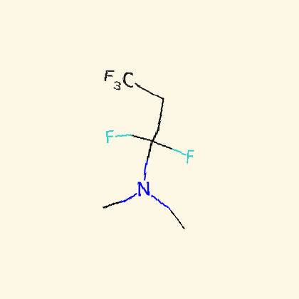 CN(C)C(F)(F)CC(F)(F)F